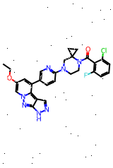 CCOc1cc(-c2ccc(N3CCN(C(=O)c4c(F)cccc4Cl)C4(CC4)C3)nc2)c2c3cn[nH]c3nn2c1